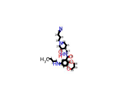 CCCCNc1cc2c(c(C(=O)NC[C@@H]3CCN(CCCC#N)CC3O)c1)OCCCO2